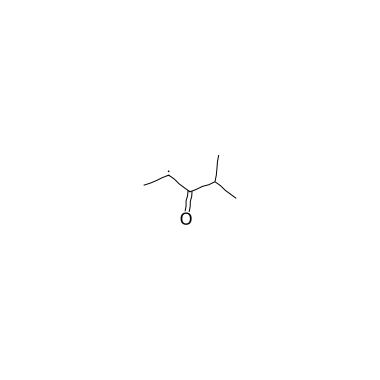 C[CH]C(=O)C(C)C